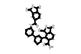 O=C(Oc1cccc(-c2cccc(-c3c(C(=O)O)ccc4c3C(=O)OC4=O)c2)c1)c1ccc2c(c1)C(=O)OC2=O